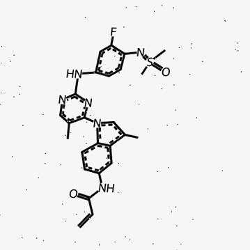 C=CC(=O)Nc1ccc2c(c1)c(C)cn2-c1nc(Nc2ccc(N=S(C)(C)=O)c(F)c2)ncc1C